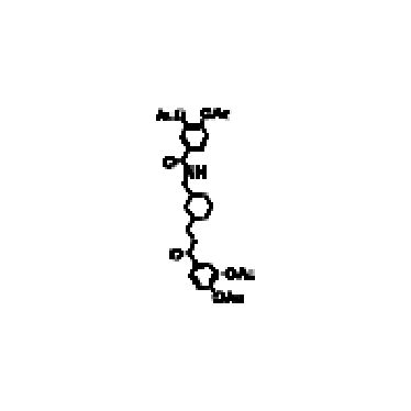 CC(=O)Oc1ccc(C(=O)CCC2CCCC(CNC(=O)c3ccc(OC(C)=O)c(OC(C)=O)c3)C2)cc1OC(C)=O